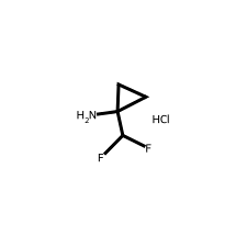 Cl.NC1(C(F)F)CC1